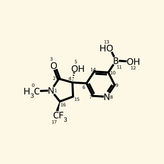 CN1C(=O)[C@@](O)(c2cncc(B(O)O)c2)C[C@H]1C(F)(F)F